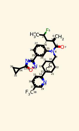 C=C(CC(C)F)C(=O)N(CC12CCC(c3ccc(C(F)(F)F)cn3)(CC1)CC2)c1cccc(-c2noc(C3CC3)n2)c1